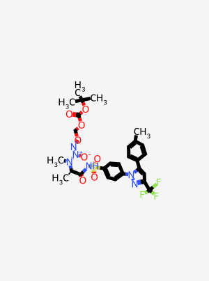 Cc1ccc(-c2cc(C(F)(F)F)nn2-c2ccc(S(=O)(=O)NC(=O)[C@H](C)N(C)/[N+]([O-])=N/OCOC(=O)OC(C)(C)C)cc2)cc1